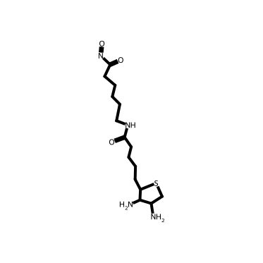 NC1CSC(CCCCC(=O)NCCCCCC(=O)N=O)C1N